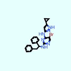 Brc1cnc(NC(Cc2ccccc2)c2ccccc2)nc1Nc1cc(C2CC2)[nH]n1